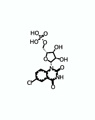 O=c1[nH]c(=O)n([C@@H]2O[C@H](COP(=O)(O)O)[C@@H](O)[C@H]2O)c2ccc(Cl)cc12